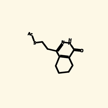 CC(=O)SCCc1n[nH]c(=O)c2c1CCCC2